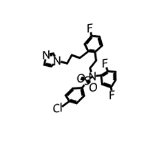 O=S(=O)(c1ccc(Cl)cc1)N(CCc1ccc(F)cc1CCCn1ccnc1)c1cc(F)ccc1F